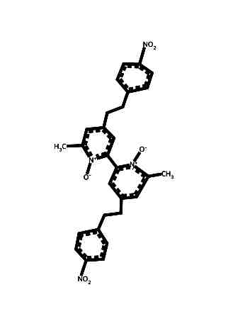 Cc1cc(CCc2ccc([N+](=O)[O-])cc2)cc(-c2cc(CCc3ccc([N+](=O)[O-])cc3)cc(C)[n+]2[O-])[n+]1[O-]